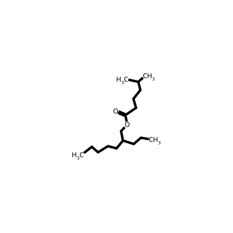 CCCCCC(CCC)COC(=O)CCCC(C)C